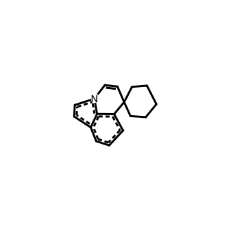 C1=CC2(CCCCC2)c2cccc3ccn1c23